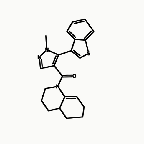 Cn1ncc(C(=O)N2CCCC3CCCC=C32)c1-c1csc2ccccc12